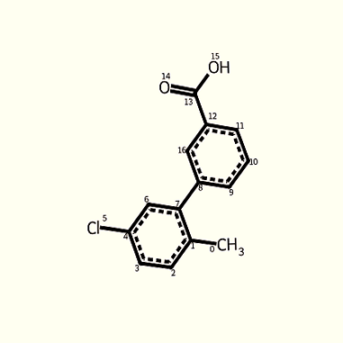 Cc1ccc(Cl)cc1-c1cccc(C(=O)O)c1